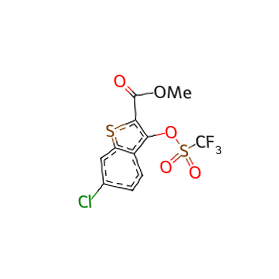 COC(=O)c1sc2cc(Cl)ccc2c1OS(=O)(=O)C(F)(F)F